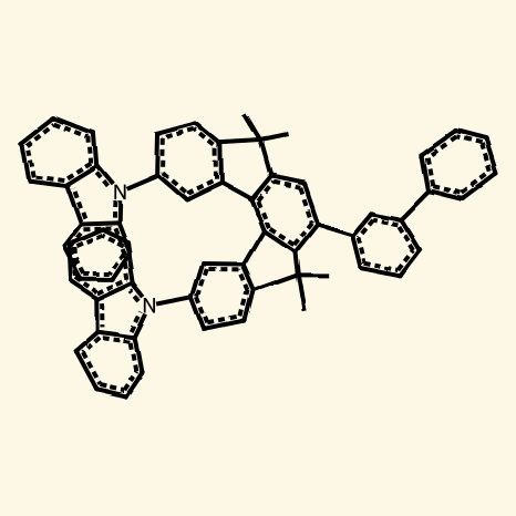 CC1(C)c2ccc(-n3c4ccccc4c4ccccc43)cc2-c2c1cc(-c1cccc(-c3ccccc3)c1)c1c2-c2cc(-n3c4ccccc4c4ccccc43)ccc2C1(C)C